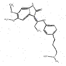 CC/C(Nc1ccc(CCCN(C)C)cc1)=C1/C(=O)Nc2cc(OC)c(OC)cc21